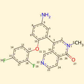 Cn1cc(-c2cc(N)ccc2Oc2ccc(F)cc2F)c2cnccc2c1=O